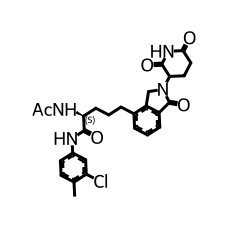 CC(=O)N[C@@H](CCCc1cccc2c1CN(C1CCC(=O)NC1=O)C2=O)C(=O)Nc1ccc(C)c(Cl)c1